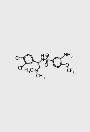 CN(C)C[C@H](NS(=O)(=O)c1ccc(OC(F)(F)F)c(N)c1)c1ccc(Cl)c(Cl)c1